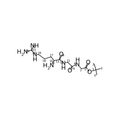 CC(C)(C)OC(=O)CNC(=O)CNC(=O)C(N)CCCNC(=N)N